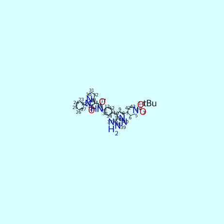 CC(C)(C)OC(=O)N1CCC(c2cc(-c3ccc(NC(=O)c4c5n(n(-c6ccccc6)c4=O)CCC5)cc3)c3c(N)ncnn23)CC1